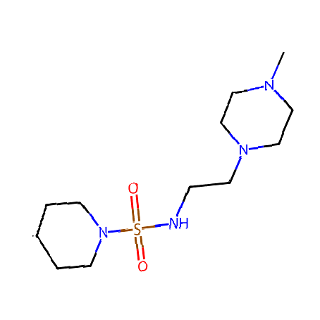 CN1CCN(CCNS(=O)(=O)N2CC[CH]CC2)CC1